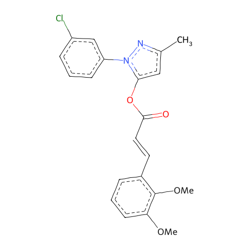 COc1cccc(/C=C/C(=O)Oc2cc(C)nn2-c2cccc(Cl)c2)c1OC